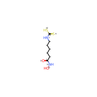 O=C(CCCCCNC(=S)S)NO